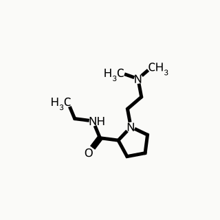 CCNC(=O)C1CCCN1CCN(C)C